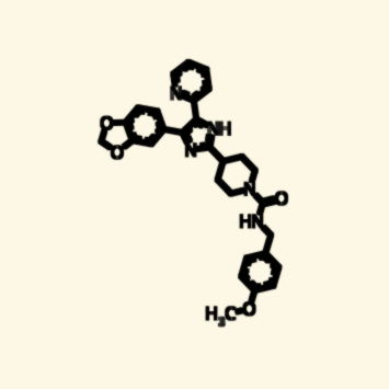 COc1ccc(CNC(=O)N2CCC(c3nc(-c4ccc5c(c4)OCO5)c(-c4ccccn4)[nH]3)CC2)cc1